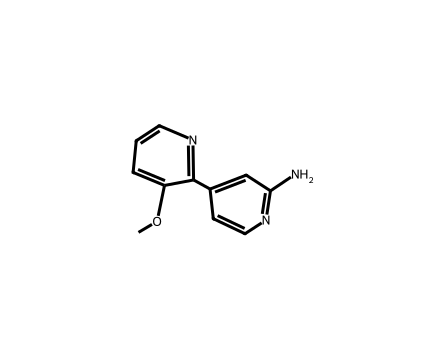 COc1cccnc1-c1ccnc(N)c1